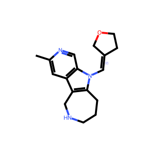 Cc1cc2c3c(n(/C=C4/CCOC4)c2cn1)CCCNC3